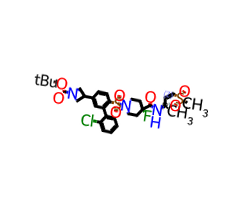 C[C@H](/C=C\S(C)(=O)=O)NC(=O)C1(F)CCN(S(=O)(=O)c2ccc(C3CN(C(=O)OC(C)(C)C)C3)cc2-c2ccccc2Cl)CC1